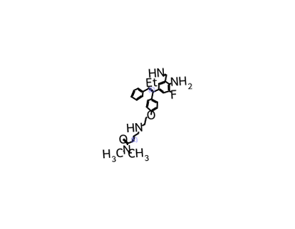 CC/C(=C(/c1ccc(OCCNC/C=C/C(=O)N(C)C)cc1)c1cc(F)c(N)c(C=N)c1)c1ccccc1